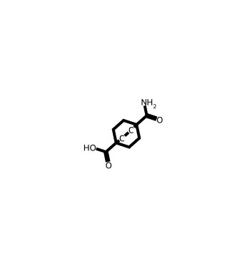 NC(=O)C12CCC(C(=O)O)(CC1)CC2